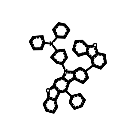 c1ccc(-c2c3c(cc4c2c2ccc(-c5cccc6oc7ccccc7c56)cc2n4-c2ccc(N(c4ccccc4)c4ccccc4)cc2)oc2ccccc23)cc1